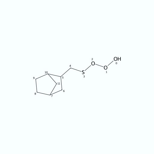 OOOSCC1CC2CCC1C2